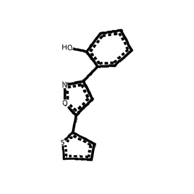 Oc1ccccc1-c1cc(-c2cccs2)on1